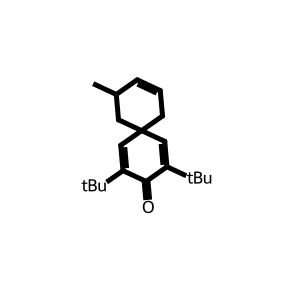 CC1C=CCC2(C=C(C(C)(C)C)C(=O)C(C(C)(C)C)=C2)C1